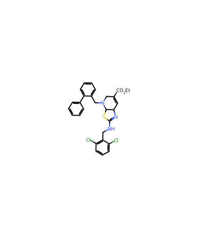 CCOC(=O)C1=CC2N=C(NCc3c(Cl)cccc3Cl)SC2N(Cc2ccccc2-c2ccccc2)C1